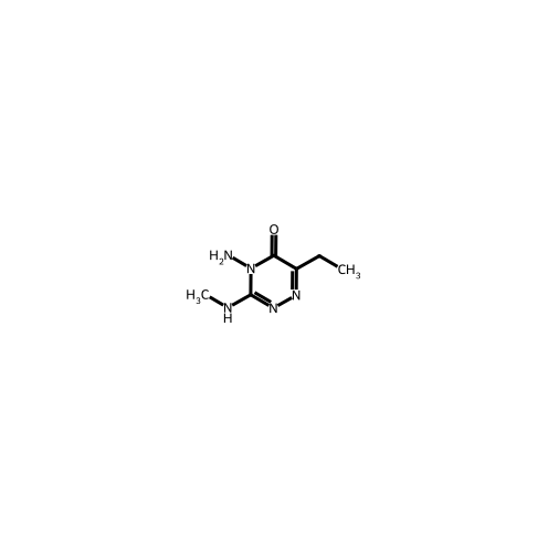 CCc1nnc(NC)n(N)c1=O